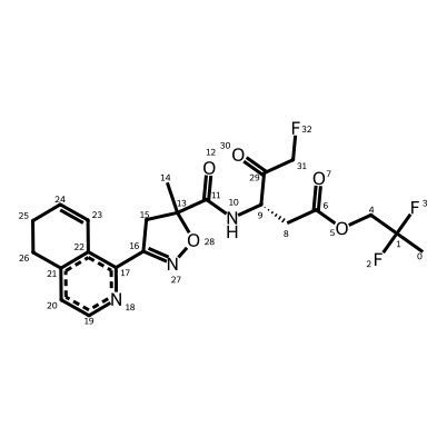 CC(F)(F)COC(=O)C[C@H](NC(=O)C1(C)CC(c2nccc3c2C=CCC3)=NO1)C(=O)CF